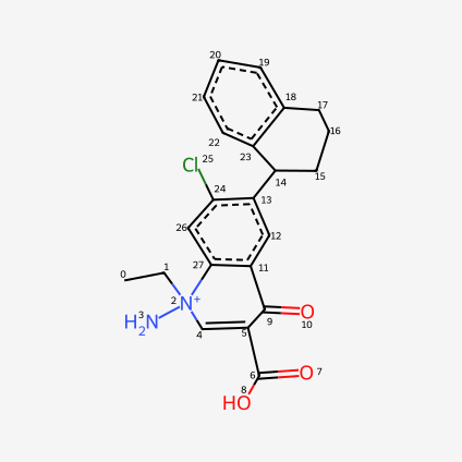 CC[N+]1(N)C=C(C(=O)O)C(=O)c2cc(C3CCCc4ccccc43)c(Cl)cc21